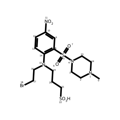 CN1CCN(S(=O)(=O)c2cc([N+](=O)[O-])ccc2N(CCBr)CCCS(=O)(=O)O)CC1